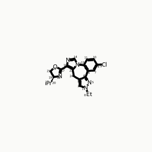 CCn1cc2c(n1)-c1cc(Cl)ccc1-n1cnc(C3=N[C@@H](C(C)C)CO3)c1C2